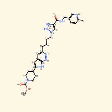 Cc1ccc(CNC(=O)C2=CN(CCCCc3cc4cc(C5CCN(C(=O)OC(C)(C)C)CC5)[nH]c4nn3)NN2)cn1